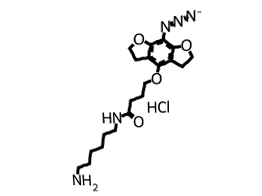 Cl.[N-]=[N+]=Nc1c2c(c(OCCCC(=O)NCCCCCCN)c3c1OCC3)CCO2